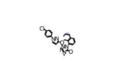 C/C=C\c1cccc(-n2nnn(C)c2=O)c1COc1ccn(-c2ccc(Cl)cc2)n1